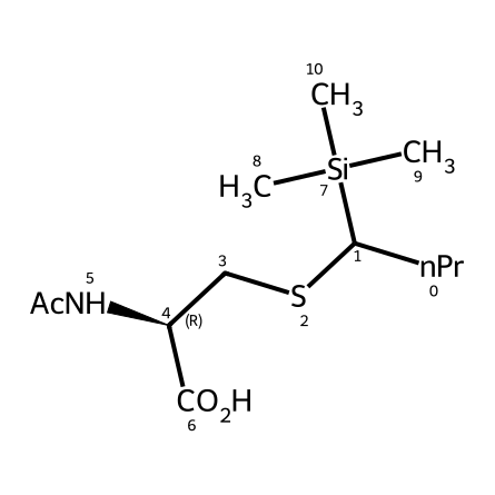 CCCC(SC[C@H](NC(C)=O)C(=O)O)[Si](C)(C)C